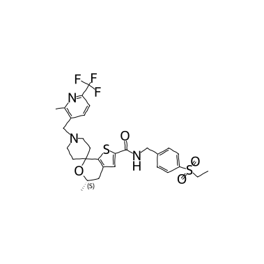 CCS(=O)(=O)c1ccc(CNC(=O)c2cc3c(s2)C2(CCN(Cc4ccc(C(F)(F)F)nc4C)CC2)O[C@@H](C)C3)cc1